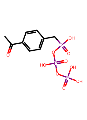 CC(=O)c1ccc(CP(=O)(O)OP(=O)(O)OP(=O)(O)O)cc1